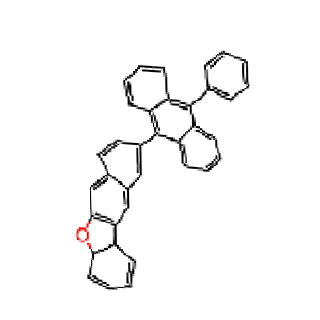 C1=CC2Oc3cc4ccc(-c5c6ccccc6c(-c6ccccc6)c6ccccc56)cc4cc3C2C=C1